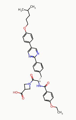 CCOc1ccc(C(=O)N[C@@H](Cc2ccc(-c3ncc(-c4ccc(OCCCC(C)C)cc4)cn3)cc2)C(=O)N2CC(C(=O)O)C2)cc1